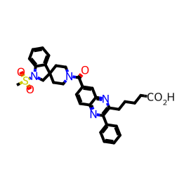 CS(=O)(=O)N1CC2(CCN(C(=O)c3ccc4nc(-c5ccccc5)c(CCCCC(=O)O)nc4c3)CC2)c2ccccc21